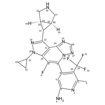 Cc1nc(N)cc(-c2c(F)c3c(c(C4[C@H]5CNC[C@@H]45)nn3C3CC3)c3ncnn23)c1C(F)(F)F